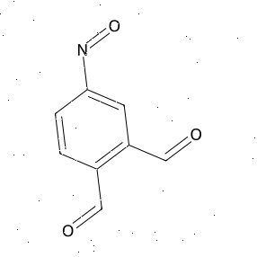 O=Cc1ccc(N=O)cc1C=O